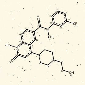 CCn1c(=O)cc(N2CCC(CCO)CC2)c2cc(C(=O)N(C)c3cccc(C(F)(F)F)c3)ccc21